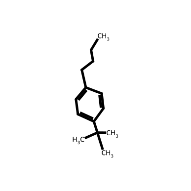 CCCCc1ccc(C(C)(C)C)cc1